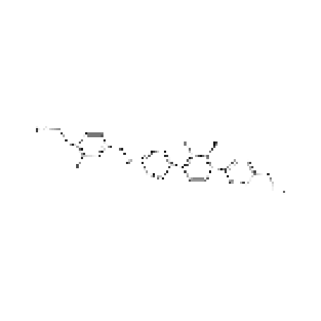 CCCc1ccc(COc2ccc(-c3ccc(-c4ccc(CC)cc4)c(F)c3F)cc2)cc1F